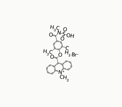 Cc1cc(C(=O)N(C)S(=O)(=O)O)cc(C)c1OC(=O)c1c2ccccc2[n+](C)c2ccccc12.[Br-]